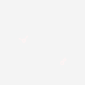 COCC(C)(C)c1cc(Cl)cc(C=O)c1